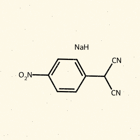 N#CC(C#N)c1ccc([N+](=O)[O-])cc1.[NaH]